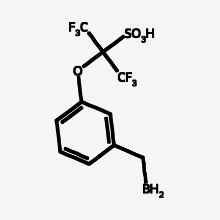 BCc1cccc(OC(C(F)(F)F)(C(F)(F)F)S(=O)(=O)O)c1